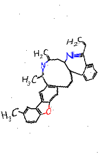 C=CC1=NC2CC(=C)/N=C(/C)c3cc4c(cc3CCC2c2ccccc21)oc1ccc(C)cc14